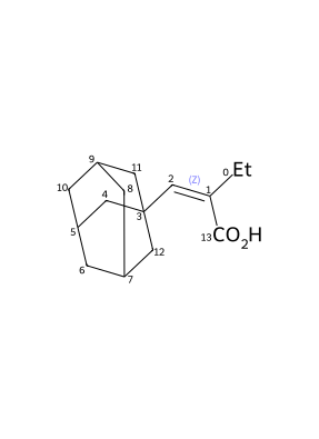 CC/C(=C/C12CC3CC(CC(C3)C1)C2)C(=O)O